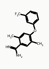 Cc1cc(C(=N)N)c(C)cc1Oc1cccc(C(F)(F)F)c1